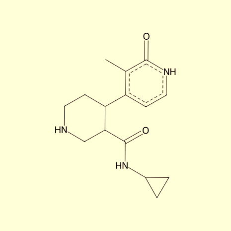 Cc1c(C2CCNCC2C(=O)NC2CC2)cc[nH]c1=O